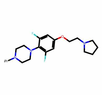 CC(C)N1CCN(c2c(F)cc(OCCN3CCCC3)cc2F)CC1